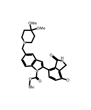 COC1(OC)CCN(Cc2ccc3c(c2)cc(-c2ccc(Cl)c4c2C(=O)NC4)n3C(=O)OC(C)(C)C)CC1